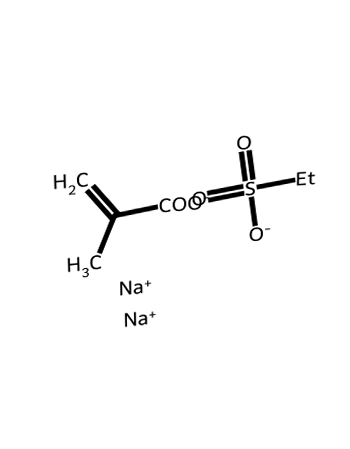 C=C(C)C(=O)[O-].CCS(=O)(=O)[O-].[Na+].[Na+]